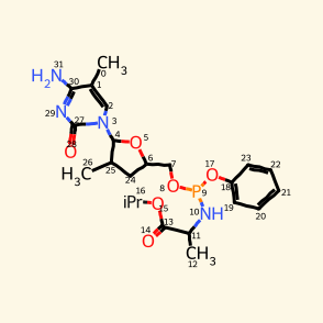 Cc1cn(C2OC(COP(NC(C)C(=O)OC(C)C)Oc3ccccc3)CC2C)c(=O)nc1N